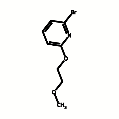 COCCOc1cccc(Br)n1